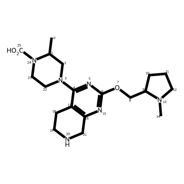 CC1CN(c2nc(OCC3CCCN3C)nc3c2CCNC3)CCN1C(=O)O